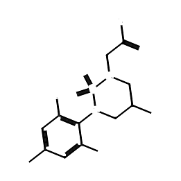 Cc1cc(Cl)c(N2CC(C)CN(CC(N)=O)S2(=O)=O)c(Cl)c1